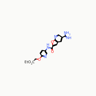 CCOC(=O)COc1ccc(NC(=O)c2cc3cc(C(=N)N)cnc3o2)cn1